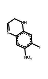 O=[N+]([O-])c1cc2c(cc1F)NCC=N2